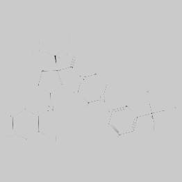 CC1COCCC1NC1CC[C@@](C(=O)N2CCN(c3cccc(C(F)(F)F)c3)CC2)(C(C)C)C1